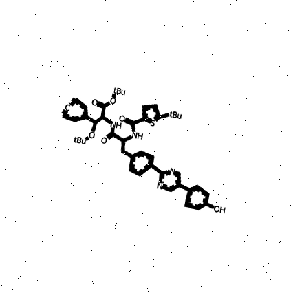 CC(C)(C)OC(=O)C(NC(=O)C(Cc1ccc(-c2ncc(-c3ccc(O)cc3)cn2)cc1)NC(=O)c1ccc(C(C)(C)C)s1)C(OC(C)(C)C)c1ccccc1